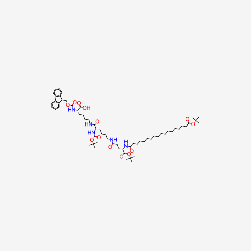 CC(C)(C)OC(=O)CCCCCCCCCCCCCCCCC(=O)N[C@@H](CCC(=O)NCCCC[C@H](NC(=O)OC(C)(C)C)C(=O)NCCCC[C@H](NC(=O)OCC1c2ccccc2-c2ccccc21)C(=O)O)C(=O)OC(C)(C)C